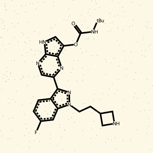 CC(C)(C)NC(=O)Oc1c[nH]c2ncc(-c3nn(CCC4CNC4)c4cc(F)ccc34)nc12